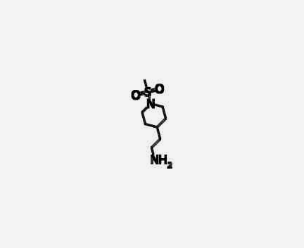 CS(=O)(=O)N1CCC(CCN)CC1